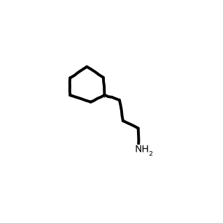 NCCC[C]1CCCCC1